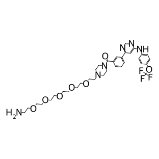 NCCOCCOCCOCCOCCOCCN1CCN(C(=O)c2cccc(-c3cc(Nc4ccc(OC(F)(F)F)cc4)ncn3)c2)CC1